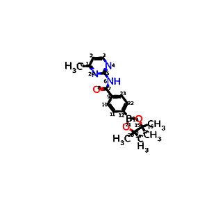 Cc1ccnc(NC(=O)c2ccc(B3OC(C)(C)C(C)(C)O3)cc2)n1